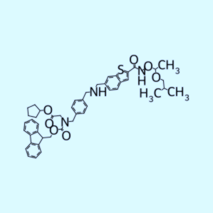 CC(C)COC(C)ONC(=O)c1cc2ccc(CNCc3ccc(CN(CC(=O)OC4CCCC4)C(=O)OCC4c5ccccc5-c5ccccc54)cc3)cc2s1